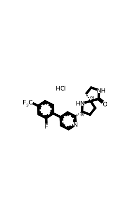 Cl.O=C1NCC[C@@]12CC[C@H](c1cc(-c3ccc(C(F)(F)F)cc3F)ccn1)N2